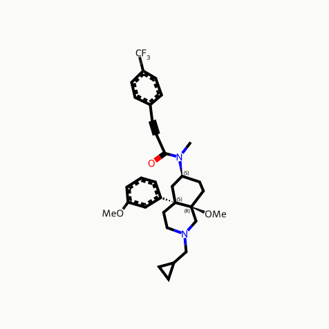 COc1cccc([C@@]23CCN(CC4CC4)C[C@@]2(OC)CC[C@H](N(C)C(=O)C#Cc2ccc(C(F)(F)F)cc2)C3)c1